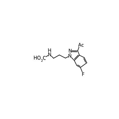 CC(=O)c1nn(CCCNC(=O)O)c2cc(F)ccc12